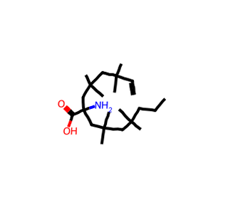 C=CC(C)(C)CC(C)(C)CC(N)(CC(C)(C)CC(C)(C)CCC)C(=O)O